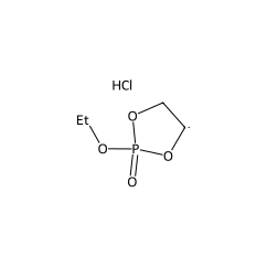 CCOP1(=O)O[CH]CO1.Cl